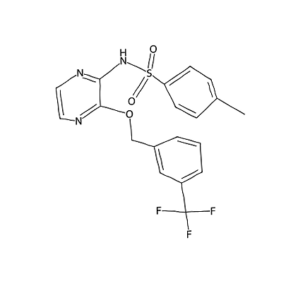 Cc1ccc(S(=O)(=O)Nc2nccnc2OCc2cccc(C(F)(F)F)c2)cc1